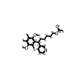 COc1c(C)c(C)c(OC)c(C(CCCCCOC(C)=O)c2cccnc2)c1C